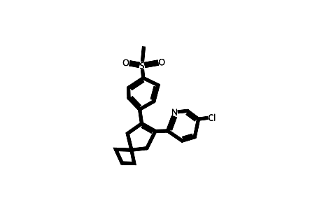 CS(=O)(=O)c1ccc(C2=C(c3ccc(Cl)cn3)CC3(CCC3)C2)cc1